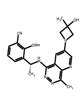 COc1c(C#N)cccc1[C@@H](C)Nc1nnc(C)c2ncc(N3CC(C)(O)C3)cc12